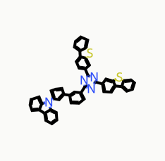 c1cc(-c2cccc(-n3c4ccccc4c4ccccc43)c2)cc(-c2nc(-c3ccc4c(c3)sc3ccccc34)nc(-c3ccc4c(c3)sc3ccccc34)n2)c1